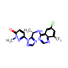 C[C@H](Nc1ncnc2c(C(F)(F)F)cc(Cl)cc12)c1ncnn1-c1ccc(=O)n(C)n1